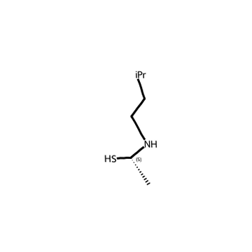 CC(C)CCN[C@H](C)S